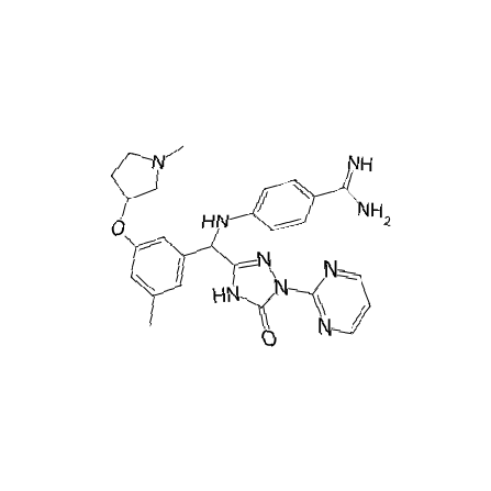 Cc1cc(OC2CCN(C)C2)cc(C(Nc2ccc(C(=N)N)cc2)c2nn(-c3ncccn3)c(=O)[nH]2)c1